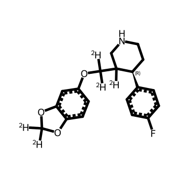 [2H]C1([2H])Oc2ccc(OC([2H])([2H])C3([2H])CNCC[C@H]3c3ccc(F)cc3)cc2O1